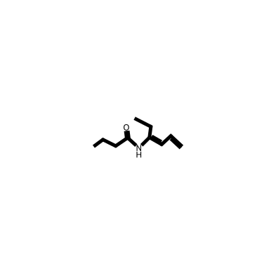 C=C/C=C(\CC)NC(=O)CCC